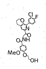 COc1cc(C(=O)NCC(=O)c2cc3c(c(-c4ccc(F)c(Cl)c4)n2)OCCC3)ccc1OCCO